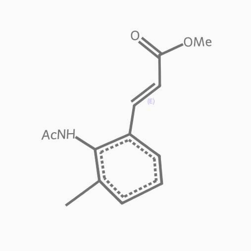 COC(=O)/C=C/c1cccc(C)c1NC(C)=O